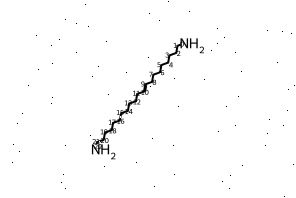 NCCCCCCCCC=CCCCCCCCCCCCN